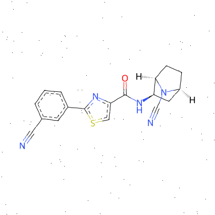 N#Cc1cccc(-c2nc(C(=O)N[C@@H]3C[C@@H]4CC[C@H]3N4C#N)cs2)c1